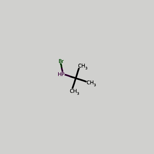 CC(C)(C)PBr